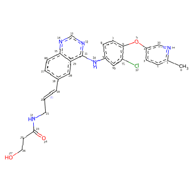 Cc1ccc(Oc2ccc(Nc3ncnc4ccc(/C=C/CNC(=O)CCO)cc34)cc2Cl)cn1